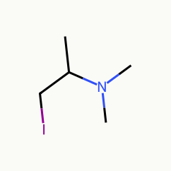 CC(CI)N(C)C